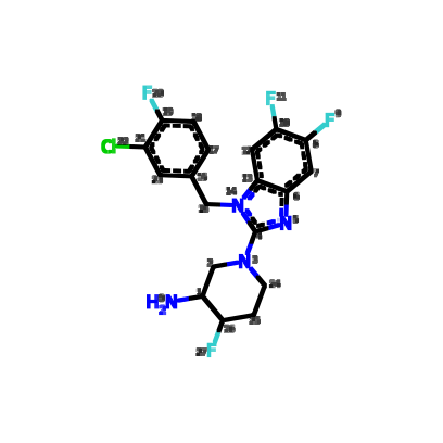 NC1CN(c2nc3cc(F)c(F)cc3n2Cc2ccc(F)c(Cl)c2)CCC1F